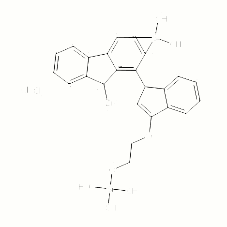 C[Si](C)(C)OCCOC1=CC(c2c3c(cc4c2[Si]4(C)C)-c2ccccc2[CH]3[Zr+2])c2ccccc21.[Cl-].[Cl-]